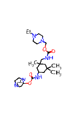 CCN1CCN(COC(=O)NCC2(C)CC(NC(=O)OC3CCN4CCN3CC4)CC(C)(C)C2)CC1